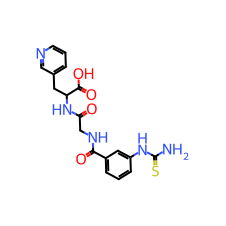 NC(=S)Nc1cccc(C(=O)NCC(=O)NC(Cc2cccnc2)C(=O)O)c1